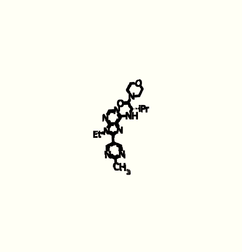 CCn1c(-c2cnc(C)nc2)nc2c(N[C@H](C(=O)N3CCOCC3)C(C)C)ncnc21